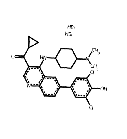 Br.Br.CN(C)C1CCC(Nc2c(C(=O)C3CC3)cnc3ccc(-c4cc(Cl)c(O)c(Cl)c4)cc23)CC1